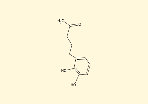 CC(=O)CCCc1cccc(O)c1O